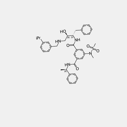 CC(C)c1cccc(CNC[C@@H](O)[C@H](Cc2ccccc2)NC(=O)c2cc(C(=O)N[C@H](C)c3ccccc3)cc(N(C)S(C)(=O)=O)c2)c1